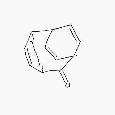 O=C1[C]2C=C[C](C=C2)c2ccc1cc2